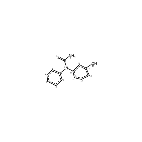 NC(=S)N(c1ccccc1)c1cccc(O)c1